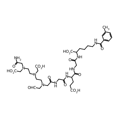 Cc1cccc(C(=O)NCCCCC(NC(=O)CNC(=O)C(CCC(=O)O)NC(=O)CNC(=O)CN(CC=O)CCN(CCN(CC(N)=O)CC(=O)O)CC(=O)O)C(=O)O)c1